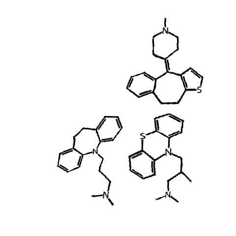 CC(CN(C)C)CN1c2ccccc2Sc2ccccc21.CN(C)CCCN1c2ccccc2CCc2ccccc21.CN1CCC(=C2c3ccccc3CCc3sccc32)CC1